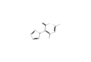 Cc1cc(O)c(C2C=CC=C2)c(=O)o1